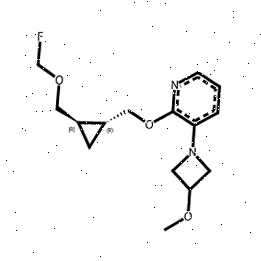 COC1CN(c2cccnc2OC[C@@H]2C[C@H]2COCF)C1